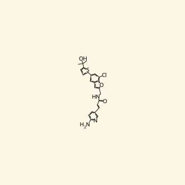 CC(C)(O)c1ccc(-c2cc(Cl)c3oc(CNC(=O)/C=C/c4ccc(N)nc4)cc3c2)s1